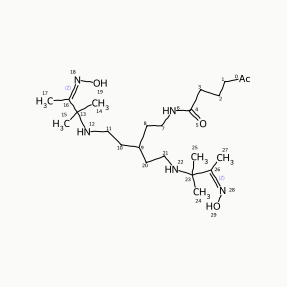 CC(=O)CCCC(=O)NCCC(CCNC(C)(C)/C(C)=N\O)CCNC(C)(C)/C(C)=N\O